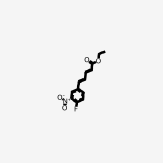 CCOC(=O)C=CC=Cc1ccc(F)c([N+](=O)[O-])c1